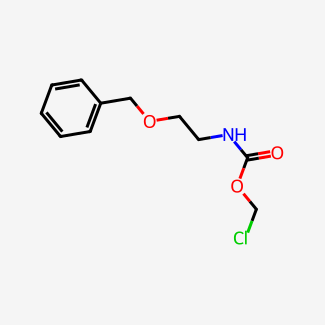 O=C(NCCOCc1ccccc1)OCCl